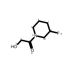 O=C(CO)N1CCCC(F)C1